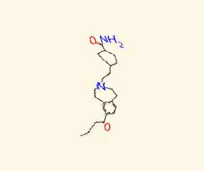 CCCC(=O)c1ccc2c(c1)CCN(CCC1CCC(C(N)=O)CC1)CC2